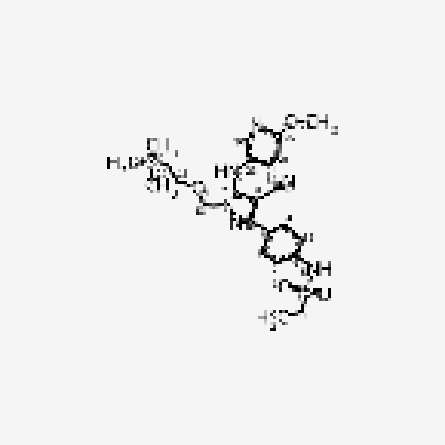 CCS(=O)(=O)Nc1ccc(-c2nn(COCC[Si](C)(C)C)c(Nc3ccc(OC)nc3)c2C#N)cc1